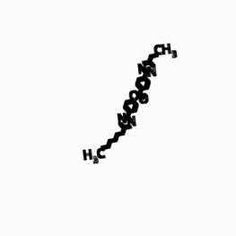 CCCCCCCc1cnc(-c2ccc(OC(=O)c3ccc(-c4ncc(CCC)cn4)cc3)cc2)nc1